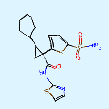 NS(=O)(=O)c1ccc([C@@]2(C(=O)Nc3nccs3)C[C@H]2C2CCCC2)s1